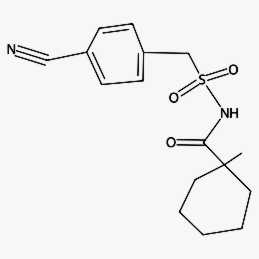 CC1(C(=O)NS(=O)(=O)Cc2ccc(C#N)cc2)CCCCC1